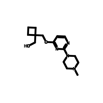 CN1CCN(c2nccc(OCC3(CO)CCC3)n2)CC1